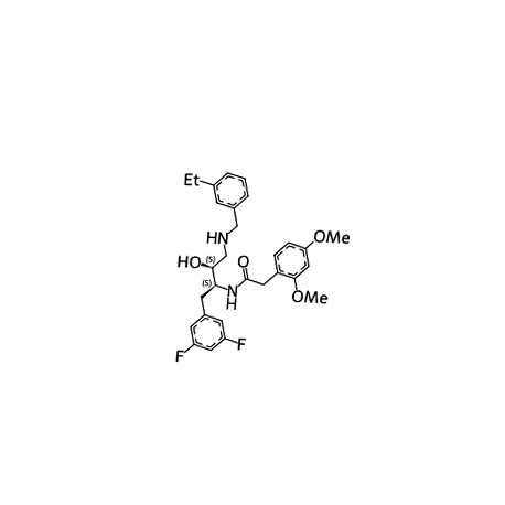 CCc1cccc(CNC[C@H](O)[C@H](Cc2cc(F)cc(F)c2)NC(=O)Cc2ccc(OC)cc2OC)c1